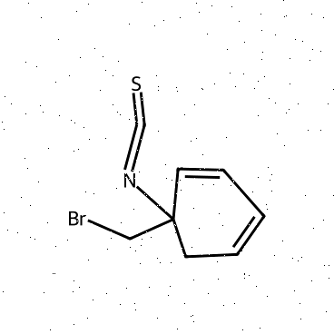 S=C=NC1(CBr)C=CC=CC1